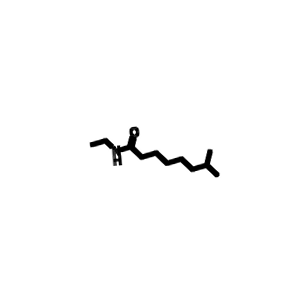 CCNC(=O)CCCCCC(C)C